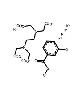 O=C(O[O-])c1cccc(Cl)c1.O=C([O-])CN(CCN(CC(=O)[O-])CC(=O)[O-])CC(=O)[O-].[K+].[K+].[K+].[K+].[K+]